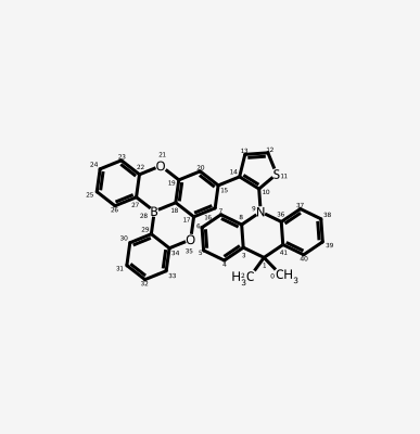 CC1(C)c2ccccc2N(c2sccc2-c2cc3c4c(c2)Oc2ccccc2B4c2ccccc2O3)c2ccccc21